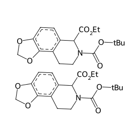 CCOC(=O)C1c2ccc3c(c2CCN1C(=O)OC(C)(C)C)OCO3.CCOC(=O)C1c2ccc3c(c2CCN1C(=O)OC(C)(C)C)OCO3